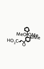 COc1ccc(C(=O)C=CC(=O)O)cc1C(OC)(OC)c1ccccc1